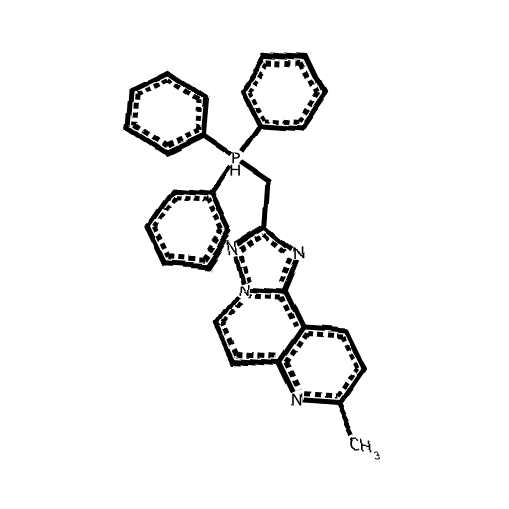 Cc1ccc2c(ccn3nc(C[PH](c4ccccc4)(c4ccccc4)c4ccccc4)nc23)n1